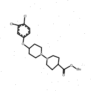 CC(C)(C)OC(=O)C1CCN(N2CCC(Oc3ccc(Cl)c(Cl)c3)CC2)CC1